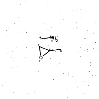 CC1CO1.CN